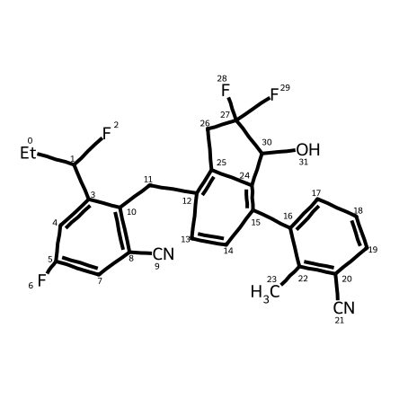 CCC(F)c1cc(F)cc(C#N)c1Cc1ccc(-c2cccc(C#N)c2C)c2c1CC(F)(F)C2O